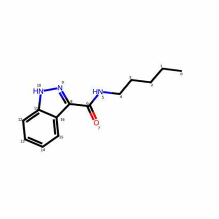 CCCCCNC(=O)c1n[nH]c2ccccc12